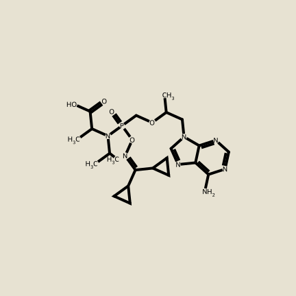 CC(Cn1cnc2c(N)ncnc21)OCP(=O)(ON=C(C1CC1)C1CC1)N(C(C)C)C(C)C(=O)O